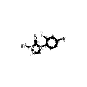 CC(C)n1ncn(-c2ccc(Br)cc2F)c1=O